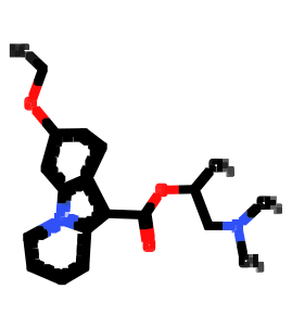 CC(CN(C)C)OC(=O)c1c2ccc(OCC#N)cc2n2ccccc12